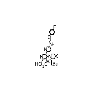 Cc1ncc(-c2ccc(N(C)CCOc3ccc(F)cc3)cn2)c(N2CCC(C)(C)CC2)c1[C@H](OC(C)(C)C)C(=O)O